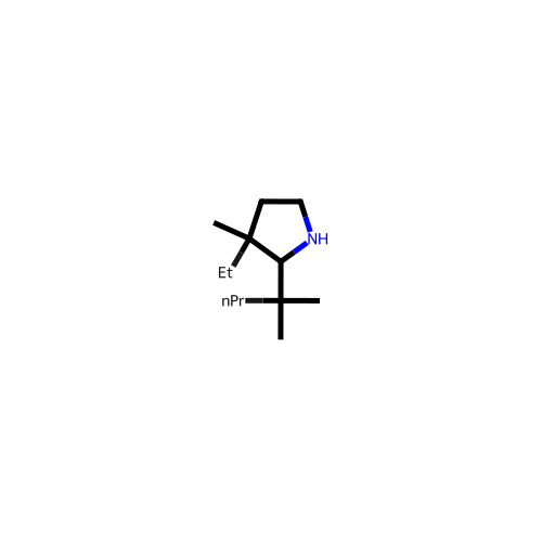 CCCC(C)(C)C1NCCC1(C)CC